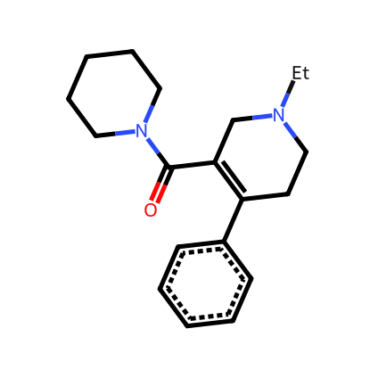 CCN1CCC(c2ccccc2)=C(C(=O)N2CCCCC2)C1